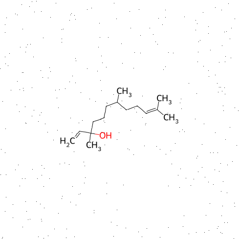 C=CC(C)(O)CCCC(C)CCC=C(C)C